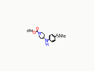 CSc1ccc(NC2CCN(C(=O)OC(C)(C)C)CC2)cc1